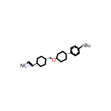 CCCCc1ccc([C@H]2CC[C@H](OC[C@H]3CC[C@H](/C=C/C#N)CC3)CC2)cc1